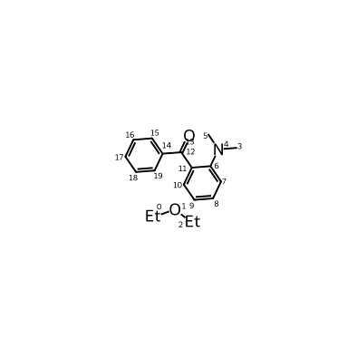 CCOCC.CN(C)c1ccccc1C(=O)c1ccccc1